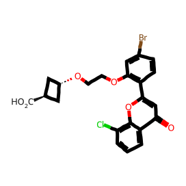 O=c1cc(-c2ccc(Br)cc2OCCO[C@H]2C[C@H](C(=O)O)C2)oc2c(Cl)cccc12